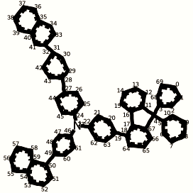 c1ccc(C2(c3ccccc3)c3ccccc3-c3c(-c4ccc(N(c5ccc(-c6ccc(-c7ccc8ccccc8c7)cc6)cc5)c5ccc(-c6cccc7ccccc67)cc5)cc4)cccc32)cc1